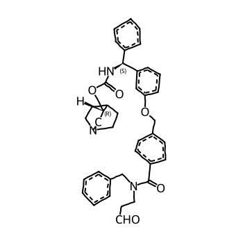 O=CCCN(Cc1ccccc1)C(=O)c1ccc(COc2cccc([C@@H](NC(=O)O[C@H]3CN4CCC3CC4)c3ccccc3)c2)cc1